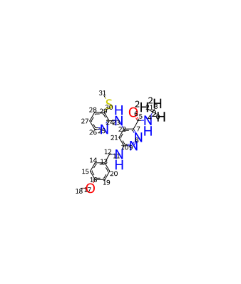 [2H]C([2H])([2H])NC(=O)c1nnc(NCc2ccc(OC)cc2)cc1Nc1ncccc1SC